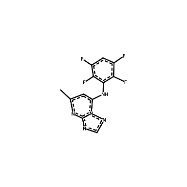 Cc1cc(Nc2c(F)c(F)cc(F)c2F)n2ncnc2n1